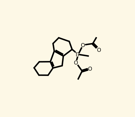 CC(=O)[O][Ti]([CH3])([O]C(C)=O)[CH]1CCCC2=C1CC1=C2CCCC1